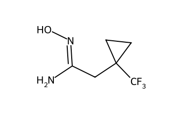 NC(CC1(C(F)(F)F)CC1)=NO